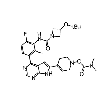 Cc1c(-c2ncnc3[nH]c(C4=CCN(OC(=O)N(C)C)CC4)cc23)ccc(F)c1NC(=O)N1CC(OC(C)(C)C)C1